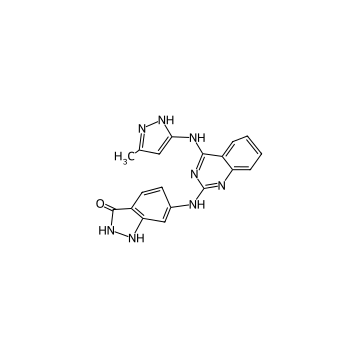 Cc1cc(Nc2nc(Nc3ccc4c(=O)[nH][nH]c4c3)nc3ccccc23)[nH]n1